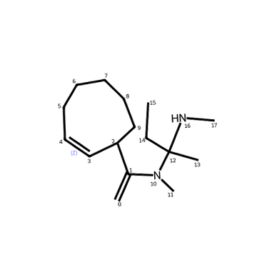 C=C(C1/C=C\CCCCC1)N(C)C(C)(CC)NC